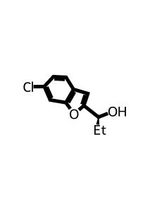 CC[C@H](O)c1cc2ccc(Cl)cc2o1